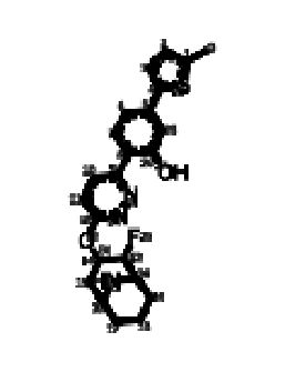 Cc1ccc(-c2ccc(-c3ccc(O[C@@H]4CC5CCCC(N5)[C@@H]4F)nn3)c(O)c2)s1